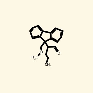 CCCC(C=O)C1(COC)c2ccccc2-c2ccccc21